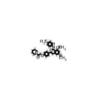 COc1cc(C=Cc2ccc(OCC(=O)N3CCCCC3)cc2)c(C(=O)Nc2ccc(C)cc2)c(OC)c1